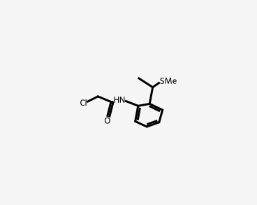 CSC(C)c1ccccc1NC(=O)CCl